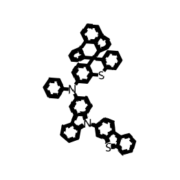 c1ccc(N(c2ccc3c(c2)Sc2ccccc2C32c3ccccc3-c3cccc4cccc2c34)c2ccc3c(c2)c2ccccc2n3-c2ccc3c(c2)sc2ccccc23)cc1